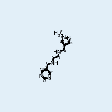 Cn1cc(CNCCNCc2cncnc2)cn1